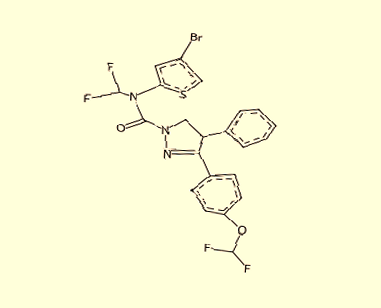 O=C(N1CC(c2ccccc2)C(c2ccc(OC(F)F)cc2)=N1)N(c1cc(Br)cs1)C(F)F